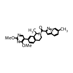 COc1ncc(-c2ccc3c(c2)C(C)N(C(=O)c2cc4ccc(C)cn4n2)CC3)c(OC)n1